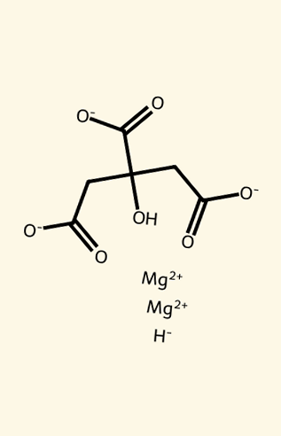 O=C([O-])CC(O)(CC(=O)[O-])C(=O)[O-].[H-].[Mg+2].[Mg+2]